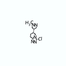 Cn1cc(-c2ccc3nnc(Cl)n3c2)cn1